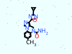 Cc1ccc2c(c1)N(C(N)=O)Cc1c(-c3nc(C4CC4)no3)ncn1-2